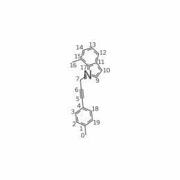 Cc1ccc(C#CCn2ccc3cccc(C)c32)cc1